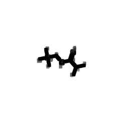 CC(C)C(=O)OC[Si](C)(C)C